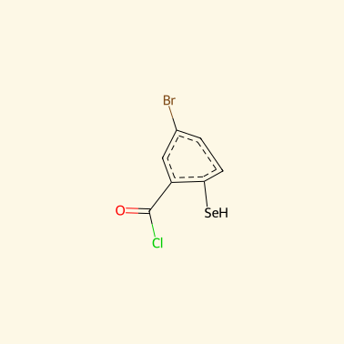 O=C(Cl)c1cc(Br)ccc1[SeH]